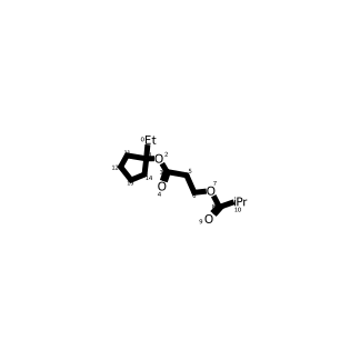 CCC1(OC(=O)CCOC(=O)C(C)C)CCCC1